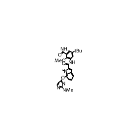 CNc1nccc(Oc2cccc3cc(C(=O)Nc4cc(C(C)(C)C)cc(C(N)=O)c4OC)n(C)c23)n1